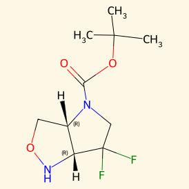 CC(C)(C)OC(=O)N1CC(F)(F)[C@@H]2NOC[C@@H]21